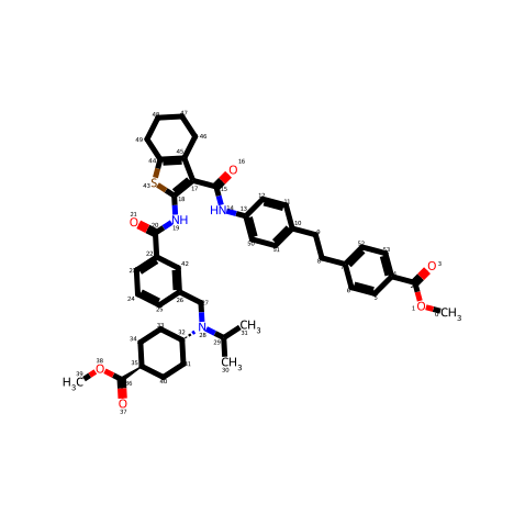 COC(=O)c1ccc(CCc2ccc(NC(=O)c3c(NC(=O)c4cccc(CN(C(C)C)[C@H]5CC[C@H](C(=O)OC)CC5)c4)sc4c3CCCC4)cc2)cc1